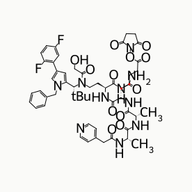 C[C@H](NC(=O)Cc1ccncc1)C(=O)N[C@@H](C)C(=O)N[C@@H](CC(N)=O)C(=O)N[C@@H](CCN(C(=O)CO)[C@@H](c1cc(-c2cc(F)ccc2F)cn1Cc1ccccc1)C(C)(C)C)C(=O)NCCCC(=O)ON1C(=O)CCC1=O